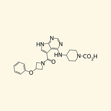 O=C(O)N1CCC(Nc2ncnc3[nH]cc(C(=O)N4CC(Oc5ccccc5)C4)c23)CC1